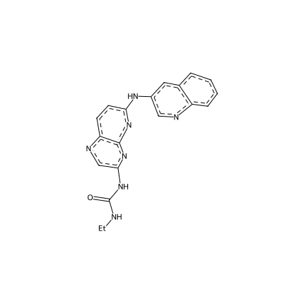 CCNC(=O)Nc1cnc2ccc(Nc3cnc4ccccc4c3)nc2n1